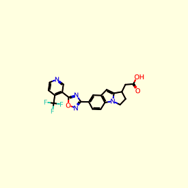 O=C(O)CC1CCn2c1cc1cc(-c3noc(-c4cnccc4C(F)(F)F)n3)ccc12